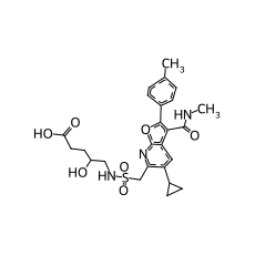 CNC(=O)c1c(-c2ccc(C)cc2)oc2nc(CS(=O)(=O)NCC(O)CCC(=O)O)c(C3CC3)cc12